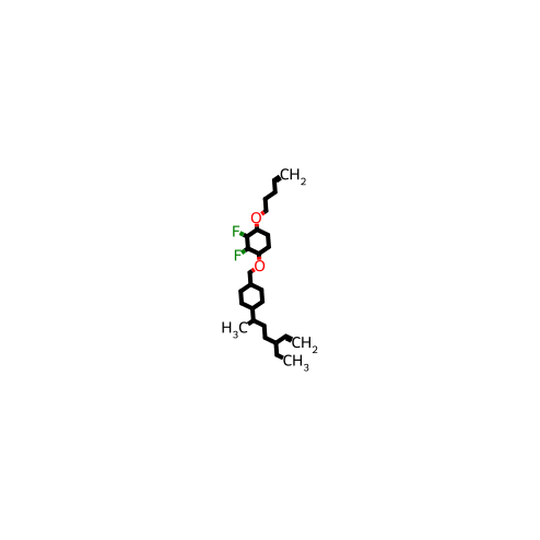 C=CCCCOC1CCC(OCC2CCC(C(C)CCC(C=C)CC)CC2)C(F)C1F